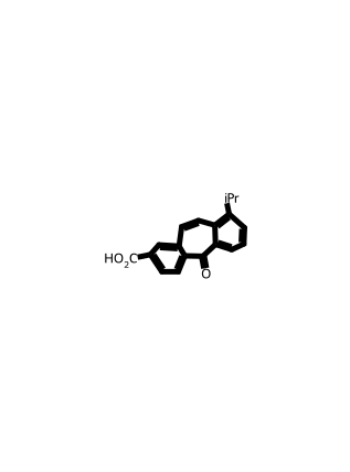 CC(C)c1cccc2c(=O)c3ccc(C(=O)O)cc3ccc12